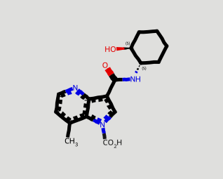 Cc1ccnc2c(C(=O)N[C@H]3CCCC[C@@H]3O)cn(C(=O)O)c12